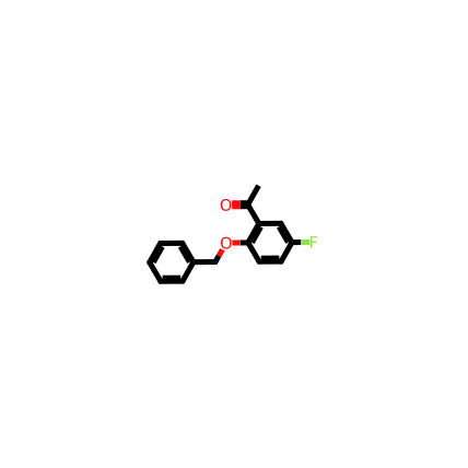 CC(=O)c1cc(F)ccc1OCc1ccccc1